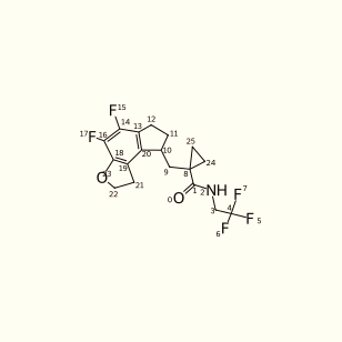 O=C(NCC(F)(F)F)C1(CC2CCc3c(F)c(F)c4c(c32)CCO4)CC1